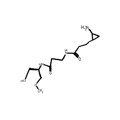 COCC(CO)NC(=O)CCNC(=O)CCC1CC1N